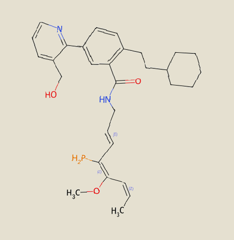 C\C=C/C(OC)=C(P)\C=C\CNC(=O)c1cc(-c2ncccc2CO)ccc1CCC1CCCCC1